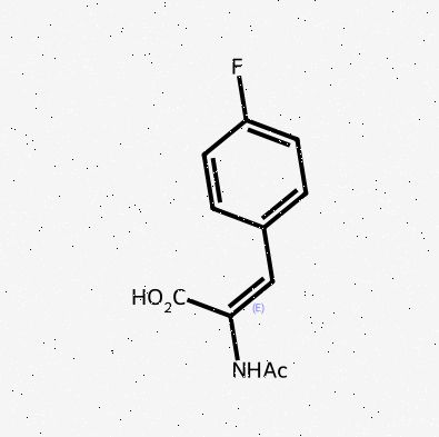 CC(=O)N/C(=C/c1ccc(F)cc1)C(=O)O